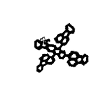 C[Si]1(C)c2ccccc2-c2cc3c(-c4ccc5c6c(cccc46)-c4ccccc4-5)c4ccc(-c5ccc6c7c(cccc57)-c5ccccc5-6)cc4c(-c4ccc5c6c(cccc46)-c4ccccc4-5)c3cc21